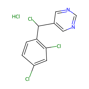 Cl.Clc1ccc(C(Cl)c2cncnc2)c(Cl)c1